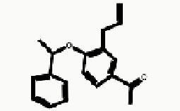 C=CCc1cc(C(C)=O)ccc1OC(C)c1ccccc1